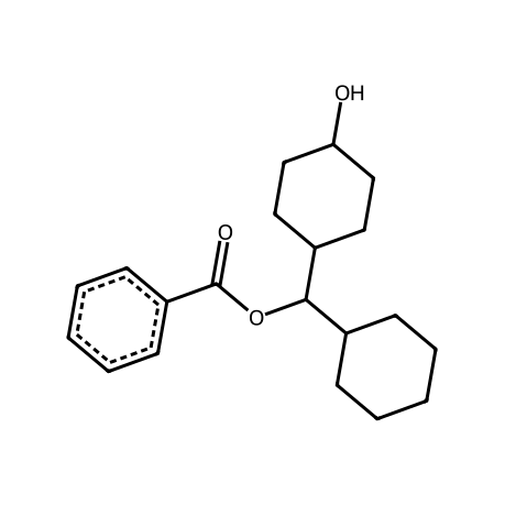 O=C(OC(C1CCCCC1)C1CCC(O)CC1)c1ccccc1